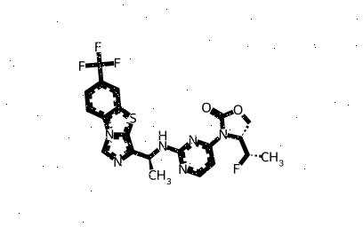 C[C@H](Nc1nccc(N2C(=O)OC[C@@H]2[C@H](C)F)n1)c1ncn2c1sc1cc(C(F)(F)F)ccc12